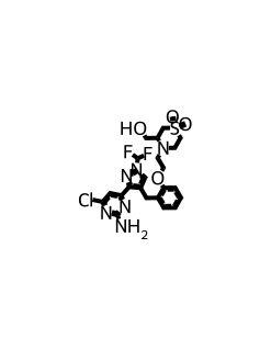 Nc1nc(Cl)cc(-c2nn(C(F)F)cc2Cc2ccccc2OCCN2CCS(=O)(=O)CC2CO)n1